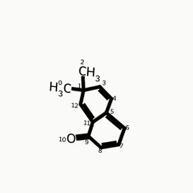 CC1(C)C=CC2=CC=[C]C(=O)C2=C1